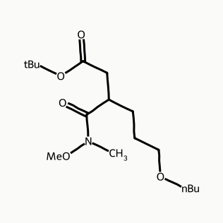 CCCCOCCCC(CC(=O)OC(C)(C)C)C(=O)N(C)OC